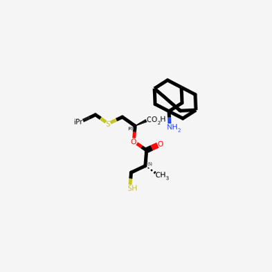 CC(C)CSC[C@H](OC(=O)[C@H](C)CS)C(=O)O.NC12CC3CC(CC(C3)C1)C2